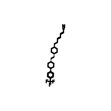 N#CC=CC=CCC[C@H]1CC[C@H](CC[C@H]2CC[C@H](c3ccc(C(F)(F)F)cc3)CC2)CC1